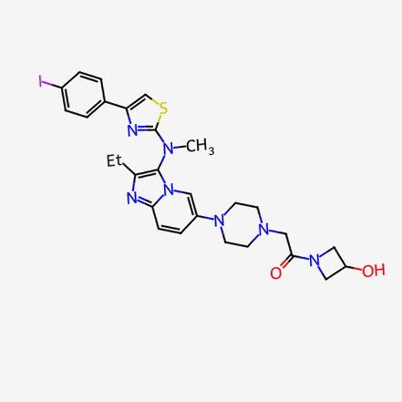 CCc1nc2ccc(N3CCN(CC(=O)N4CC(O)C4)CC3)cn2c1N(C)c1nc(-c2ccc(I)cc2)cs1